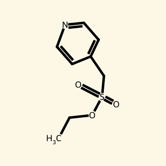 CCOS(=O)(=O)Cc1ccncc1